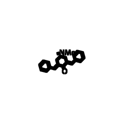 CNC.O=C1C(=Cc2ccccc2)CCCC1=Cc1ccccc1